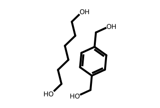 OCCCCCCO.OCc1ccc(CO)cc1